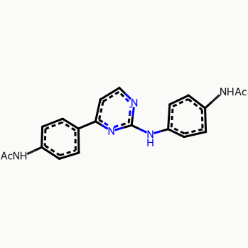 CC(=O)Nc1ccc(Nc2nccc(-c3ccc(NC(C)=O)cc3)n2)cc1